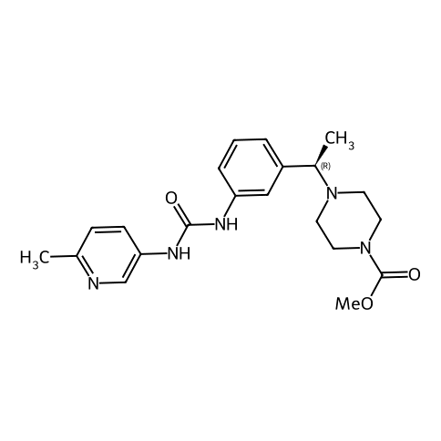 COC(=O)N1CCN([C@H](C)c2cccc(NC(=O)Nc3ccc(C)nc3)c2)CC1